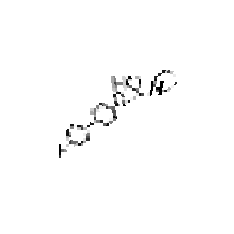 OC(COc1ccc(-c2ccc(F)cc2)cc1)CN1CCCCC1